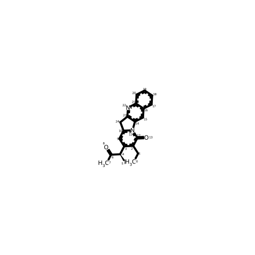 CCc1c([C@@H](I)C(C)=O)cc2n(c1=O)-c1cc3ccccc3nc1C2